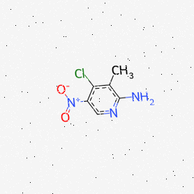 Cc1c(N)ncc([N+](=O)[O-])c1Cl